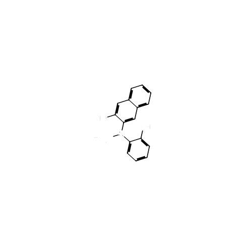 Cc1ccccc1N(C(=O)O)c1cc2ccccc2cc1O